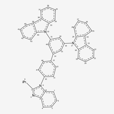 CC(C)c1nc2ccccc2n1-c1ccc(-c2cc(-n3c4ccccc4c4ccccc43)cc(-n3c4ccccc4c4ccccc43)c2)cc1